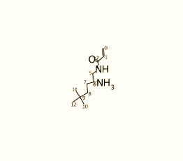 C=CC(=O)NCCCCC(C)(C)C.N